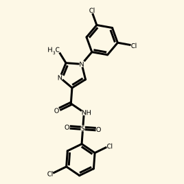 Cc1nc(C(=O)NS(=O)(=O)c2cc(Cl)ccc2Cl)cn1-c1cc(Cl)cc(Cl)c1